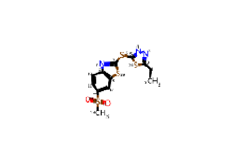 CCc1nnc(Sc2nc3ccc(S(C)(=O)=O)cc3s2)s1